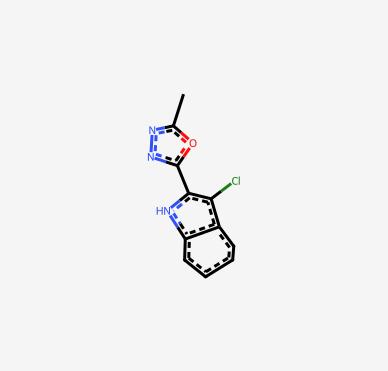 Cc1nnc(-c2[nH]c3ccccc3c2Cl)o1